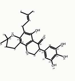 CC(C)=CCc1c(O)c2c(c3c1OC(C)(C)CC3)OCC(c1cc(O)c(O)c(O)c1)C2=O